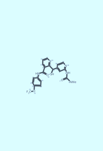 CNC(=O)Nc1cc(C(S)c2ncccc2C(=O)Nc2ccc(OC(F)(F)F)cc2)ccn1